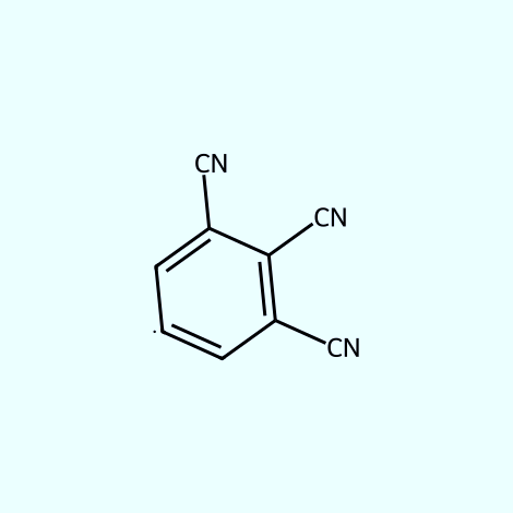 N#Cc1c[c]cc(C#N)c1C#N